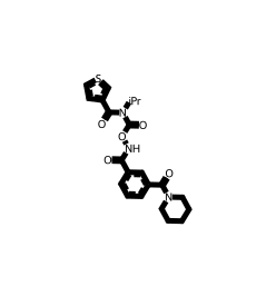 CC(C)N(C(=O)ONC(=O)c1cccc(C(=O)N2CCCCC2)c1)C(=O)c1ccsc1